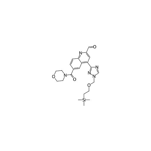 C[Si](C)(C)CCOCn1cnc(-c2cc(C=O)nc3ccc(C(=O)N4CCOCC4)cc23)n1